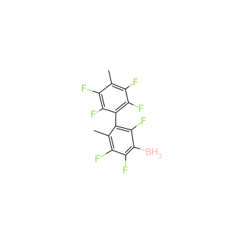 Bc1c(F)c(F)c(C)c(-c2c(F)c(F)c(C)c(F)c2F)c1F